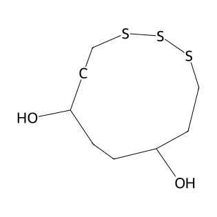 OC1CCSSSCCC(O)CC1